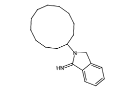 N=C1c2ccccc2CN1C1CCCCCCCCCCC1